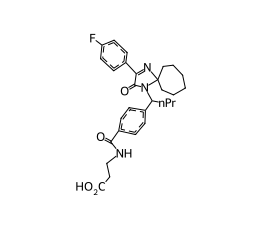 CCCC(c1ccc(C(=O)NCCC(=O)O)cc1)N1C(=O)C(c2ccc(F)cc2)=NC12CCCCCC2